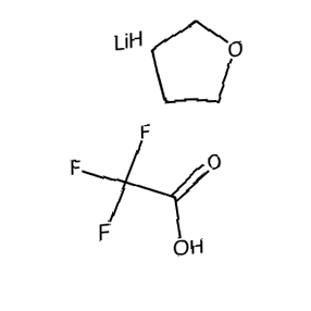 C1CCOC1.O=C(O)C(F)(F)F.[LiH]